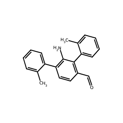 Cc1ccccc1-c1ccc(C=O)c(-c2ccccc2C)c1N